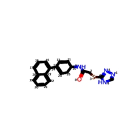 O=C(CSc1nnc[nH]1)NC1C=CC(c2cccc3ccccc23)=CC1